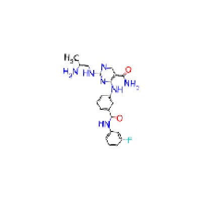 CC(N)CNc1ncc(C(N)=O)c(Nc2cccc(C(=O)Nc3cccc(F)c3)c2)n1